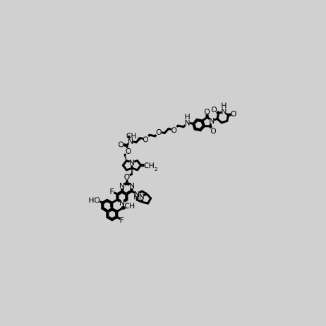 C#Cc1c(F)ccc2cc(O)cc(-c3ncc4c(N5CC6CCC(C5)N6)nc(OC[C@@]56CC[C@@H](COC(=O)N(C)CCOCCOCCOCCNc7ccc8c(c7)C(=O)N(C7CCC(=O)NC7=O)C8=O)N5CC(=C)C6)nc4c3F)c12